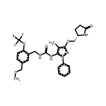 COCc1ccc(OC(F)(F)F)c(CNC(=O)Nc2c(C)c(OC[C@@H]3CCC(=O)N3)nn2-c2ccccc2)c1